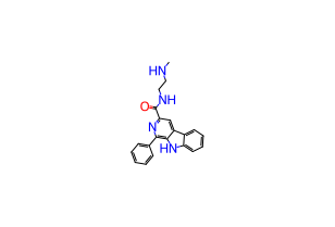 CNCCNC(=O)c1cc2c([nH]c3ccccc32)c(-c2ccccc2)n1